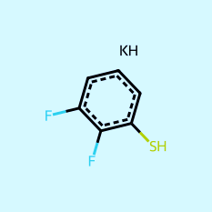 Fc1cccc(S)c1F.[KH]